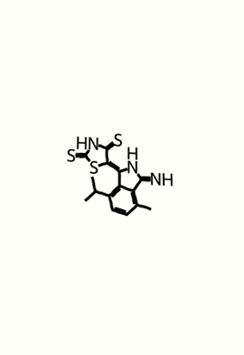 Cc1ccc(C(C)C)c2c1C(=N)NC2=C1SC(=S)NC1=S